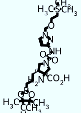 CC1(C)OB(CCC[C@H]2CN(S(=O)(=O)Nc3ccn(COCCS(C)(C)C)n3)C[C@@]2(N)C(=O)O)OC1(C)C